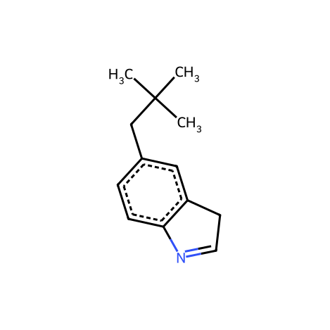 CC(C)(C)Cc1ccc2c(c1)CC=N2